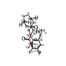 CN(C)C(=O)CCC(=O)N1[C@@H]2CC[C@H]1C[C@H]([C@H](N)Cc1cc(F)c(F)cc1F)C2